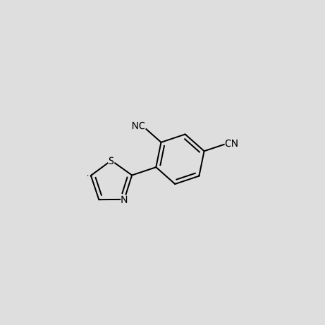 N#Cc1ccc(-c2nc[c]s2)c(C#N)c1